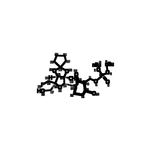 CCCCOP(=O)(OCCCC)OCn1c(=O)ccn([C@@H]2O[C@@](CO)(CF)[C@H]3OC4(CCCC4)O[C@]32C)c1=O